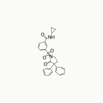 O=C(NC1CC1)c1cccc(S(=O)(=O)N2CCC(c3ccccc3)(c3ccccc3)C2=O)c1